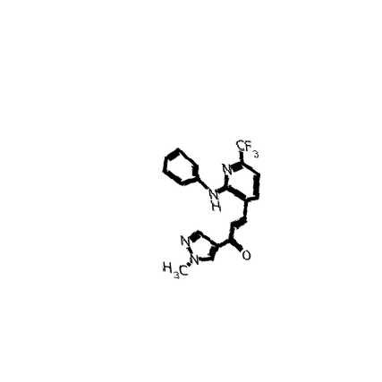 Cn1cc(C(=O)C=Cc2ccc(C(F)(F)F)nc2Nc2ccccc2)cn1